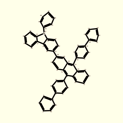 c1ccc(-c2ccc(-c3c4ccccc4c(-c4ccc(-c5ccccc5)cc4)c4cc(-c5ccc6c(c5)c5ccccc5n6-c5ccccc5)ccc34)cc2)cc1